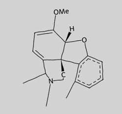 COC1=CC=C2C(C)N(C)CC[C@@]23c2c(C)cccc2O[C@@H]13